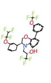 O[C@@H](CN1c2cccc(-c3cccc(OC(F)(F)F)c3)c2OC[C@@H]1C1C=C(OC(F)(F)C(F)F)C=CC1)C(F)(F)F